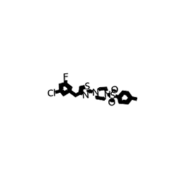 Cc1ccc(S(=O)(=O)N2CCN(c3nc(Cc4cc(F)cc(Cl)c4)cs3)CC2)cc1